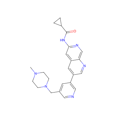 CN1CCN(Cc2cncc(-c3cnc4cnc(NC(=O)C5CC5)cc4c3)c2)CC1